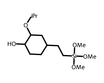 CO[Si](CCC1CCC(O)C(OC(C)C)C1)(OC)OC